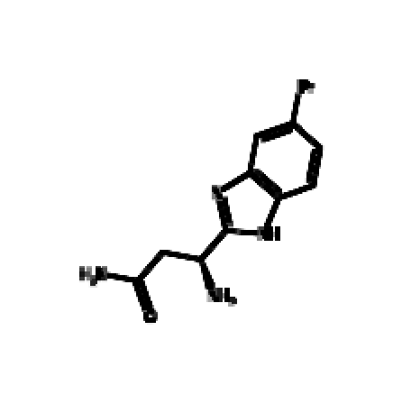 CC(C)c1ccc2[nH]c([C@@H](N)CC(N)=O)nc2c1